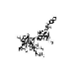 C[C@H](NC(=O)[C@@H](N)CCCN)C(=O)OC[C@H](COc1ccc(-c2c(C#N)c(N)nc(SCc3coc(-c4ccc(Cl)cc4)n3)c2C#N)cc1)OC(=O)[C@H](C)NC(=O)[C@@H](N)CCCN